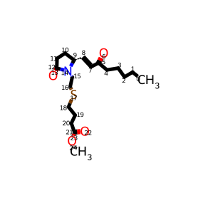 CCCCCC(=O)/C=C/[C@H]1CCC(=O)N1CCSCCCC(=O)OC